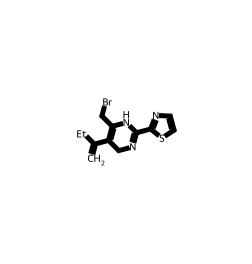 C=C(CC)C1=C(CBr)NC(c2nccs2)=NC1